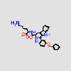 COC(=O)C(CCCCN)NC(=O)C1Cc2c([nH]c3ccccc23)[C@@H](c2cccc(OCc3ccccc3)c2)N1